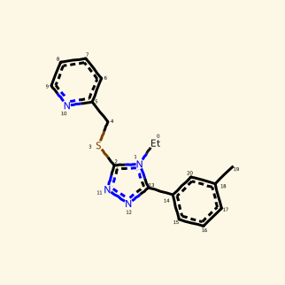 CCn1c(SCc2ccccn2)nnc1-c1cccc(C)c1